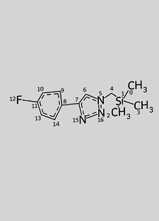 C[Si](C)(C)Cn1cc(-c2ccc(F)cc2)nn1